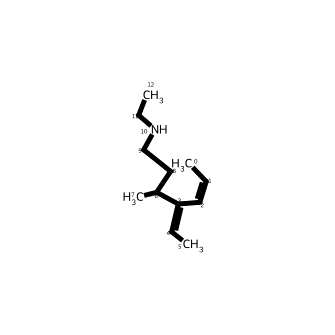 C/C=C\C(=C/C)C(C)CCNCC